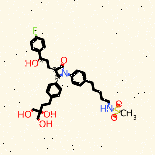 CS(=O)(=O)NCCCCCc1ccc(N2C(=O)[C@H](CC[C@H](O)c3ccc(F)cc3)[C@H]2c2ccc(CCC(O)(CO)CO)cc2)cc1